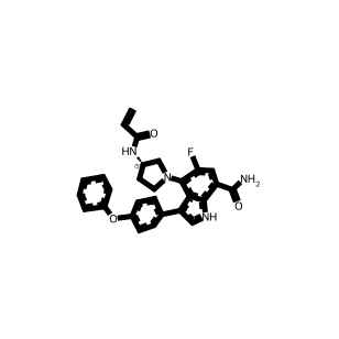 C=CC(=O)N[C@H]1CCN(c2c(F)cc(C(N)=O)c3[nH]cc(-c4ccc(Oc5ccccc5)cc4)c23)C1